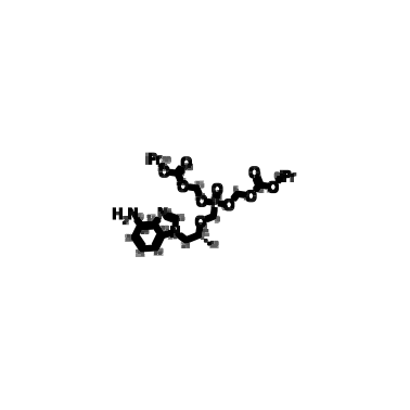 CC(C)OC(=O)OCOP(=O)(CO[C@H](C)Cn1cnc2c(N)cccc21)OCOC(=O)OC(C)C